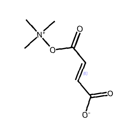 C[N+](C)(C)OC(=O)/C=C/C(=O)[O-]